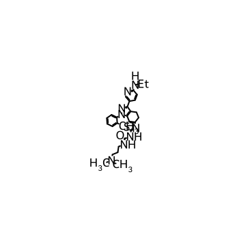 CCNc1ccc(-c2nn(-c3ccccc3C)c3c2CCc2nc(NC(=O)NCCCN(C)C)sc2-3)cn1